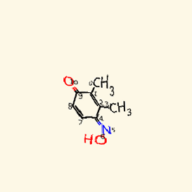 CC1=C(C)C(=NO)C=CC1=O